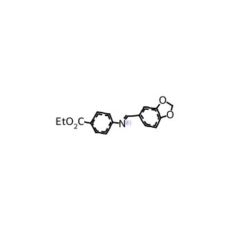 CCOC(=O)c1ccc(/N=C/c2ccc3c(c2)OCO3)cc1